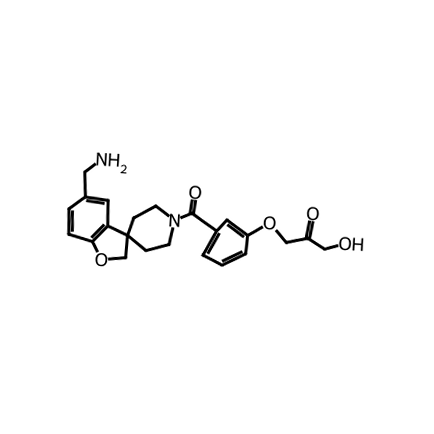 NCc1ccc2c(c1)C1(CCN(C(=O)c3cccc(OCC(=O)CO)c3)CC1)CO2